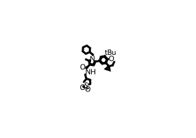 Cc1c(C(=O)NCC2CCS(=O)(=O)C2)cc(-c2cc(C(C)(C)C)c3c(c2)C2(CCO3)CC2)n1CC1CCCCC1